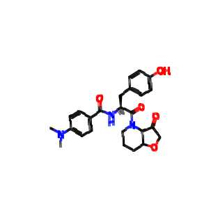 CN(C)c1ccc(C(=O)N[C@@H](Cc2ccc(O)cc2)C(=O)N2CCCC3OCC(=O)C32)cc1